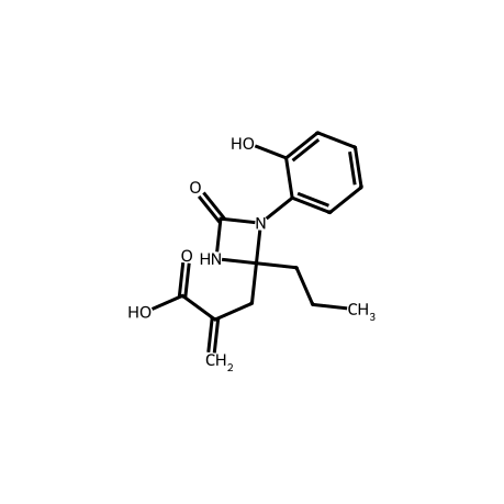 C=C(CC1(CCC)NC(=O)N1c1ccccc1O)C(=O)O